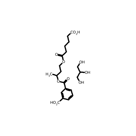 CC(CCOC(=O)CCCCC(=O)O)OC(=O)c1cccc(C(=O)O)c1.OCC(O)CO